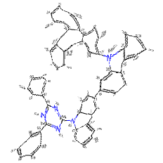 C1=CC2C(C=C1c1ccc3c4ccccc4n(-c4ccc5c6ccccc6c6ccccc6c5c4)c3c1)c1ccccc1N2c1nc(-c2ccccc2)nc(-c2ccccc2)n1